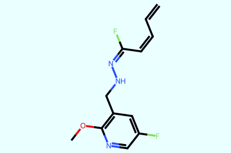 C=C/C=C\C(F)=N/NCc1cc(F)cnc1OC